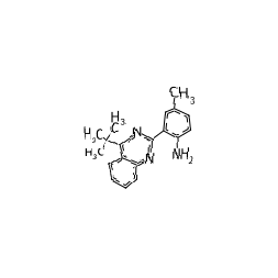 Cc1ccc(N)c(-c2nc(C(C)(C)C)c3ccccc3n2)c1